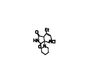 CCC1=CC=CC2(N3CCCCC3)C(=O)NC(=O)C12.Cl